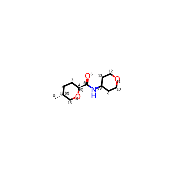 C[C@@H]1CC[C@@H](C(=O)NC2CCOCC2)OC1